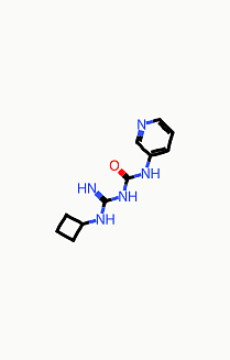 N=C(NC(=O)Nc1cccnc1)NC1CCC1